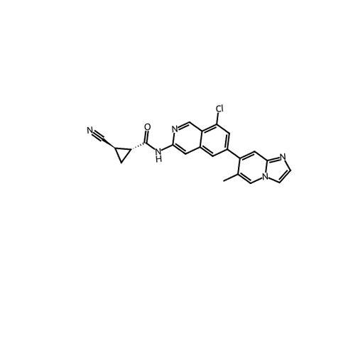 Cc1cn2ccnc2cc1-c1cc(Cl)c2cnc(NC(=O)[C@@H]3C[C@H]3C#N)cc2c1